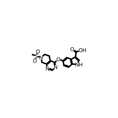 CS(=O)(=O)N1CCc2c(ncnc2Oc2ccc3[nH]cc(C(=O)O)c3c2)C1